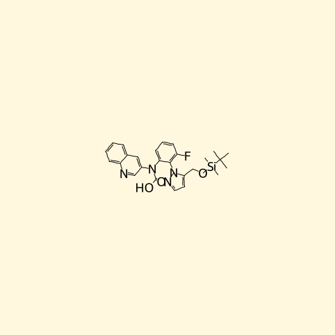 CC(C)(C)[Si](C)(C)OCc1ccnn1-c1c(F)cccc1N(C(=O)O)c1cnc2ccccc2c1